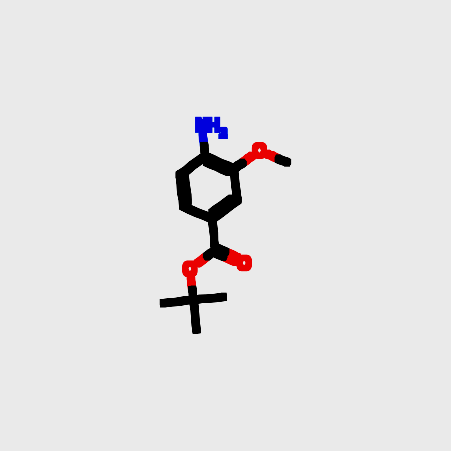 COc1cc(C(=O)OC(C)(C)C)ccc1N